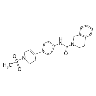 CS(=O)(=O)N1CC=C(c2ccc(NC(=O)N3CCc4ccccc4C3)cc2)CC1